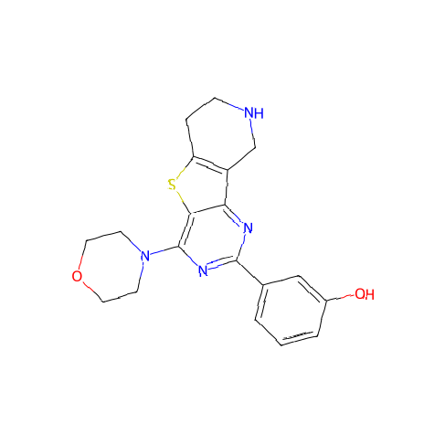 Oc1cccc(-c2nc(N3CCOCC3)c3sc4c(c3n2)CNCC4)c1